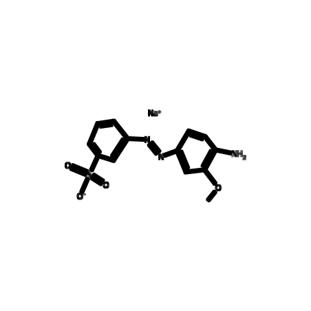 COc1cc(/N=N/c2cccc(S(=O)(=O)[O-])c2)ccc1N.[Na+]